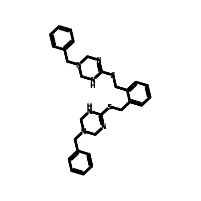 c1ccc(CN2CN=C(SCc3ccccc3CSC3=NCN(Cc4ccccc4)CN3)NC2)cc1